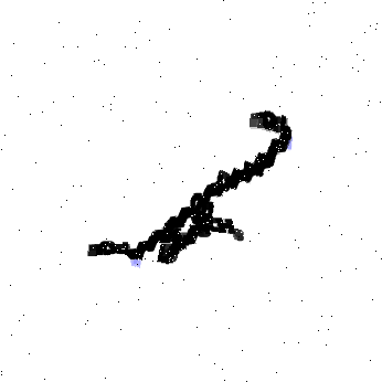 CCCCCCCC/C=C\CCCCCCCCOCCC(OCCCCCCCC/C=C\CCCCCCCC)OP(C)(=O)OCCN(CC)CC